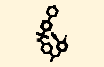 CN(Cc1ccc(F)c(C#N)c1)C1CCC(NS(=O)(=O)c2ccc(N3CCOCC3)nc2)CC1